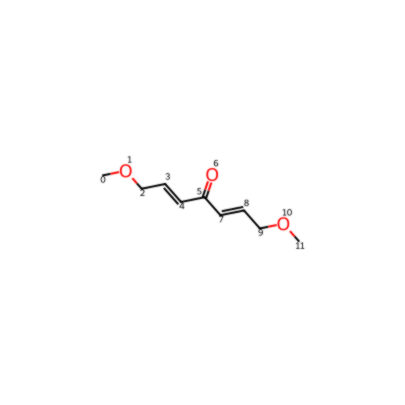 COCC=CC(=O)C=CCOC